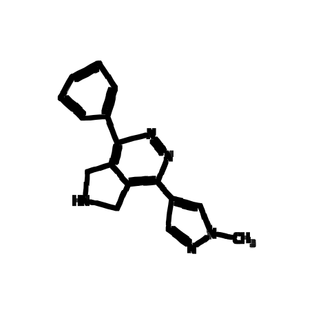 Cn1cc(-c2nnc(-c3ccccc3)c3c2CNC3)cn1